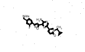 CNCc1ccc(-c2cc(-c3nc(-c4ccc(=O)n(C(C)C5CC5)c4)cnc3N)on2)c(F)c1